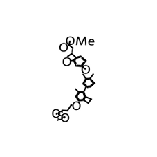 COC(=O)C[C@@H]1COc2cc(OCc3cc(-c4c(C)cc(OCCCS(C)(=O)=O)c5c4CC5)ccc3C)ccc21